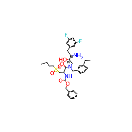 CCCCS(=O)(=O)CC(NC(=O)OCc1ccccc1)C(=O)N(Cc1cccc(CC)c1)C[C@@H](O)[C@@H](N)Cc1cc(F)cc(F)c1